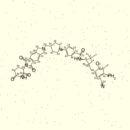 Cc1c(O[C@H]2C(C)(C)[C@H](NC(=O)c3ccc(N4CCC(CN5Cc6cc7c(cc6C5)C(=O)N(C5CCC(=O)NC5=O)C7=O)CC4)cc3)C2(C)C)ccc(C#N)c1P